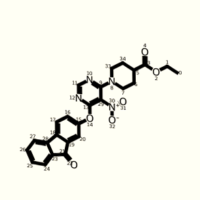 CCOC(=O)C1CCN(c2ncnc(Oc3ccc4c(c3)C(=O)c3ccccc3-4)c2[N+](=O)[O-])CC1